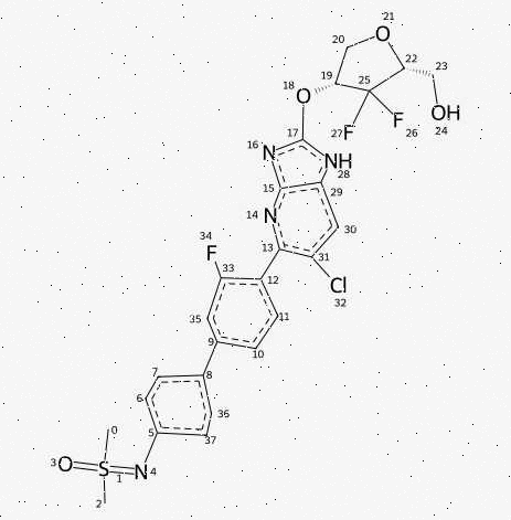 CS(C)(=O)=Nc1ccc(-c2ccc(-c3nc4nc(O[C@@H]5CO[C@H](CO)C5(F)F)[nH]c4cc3Cl)c(F)c2)cc1